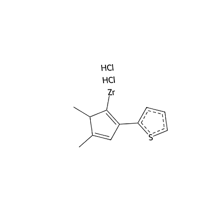 CC1=CC(c2cccs2)=[C]([Zr])C1C.Cl.Cl